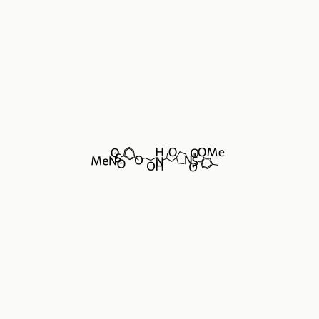 CNS(=O)(=O)c1cccc(OCC(O)CNC2COC3(CCN(S(=O)(=O)c4ccc(C)cc4OC)CC3)C2)c1